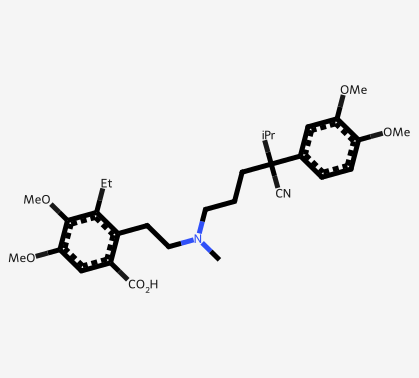 CCc1c(CCN(C)CCCC(C#N)(c2ccc(OC)c(OC)c2)C(C)C)c(C(=O)O)cc(OC)c1OC